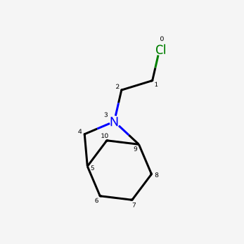 ClCCN1CC2CCCC1C2